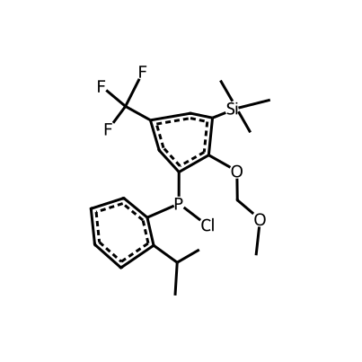 COCOc1c(P(Cl)c2ccccc2C(C)C)cc(C(F)(F)F)cc1[Si](C)(C)C